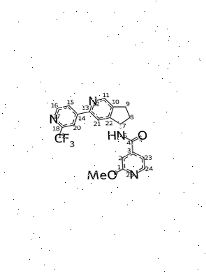 COc1cc(C(=O)N[C@H]2CCc3cnc(-c4ccnc(C(F)(F)F)c4)cc32)ccn1